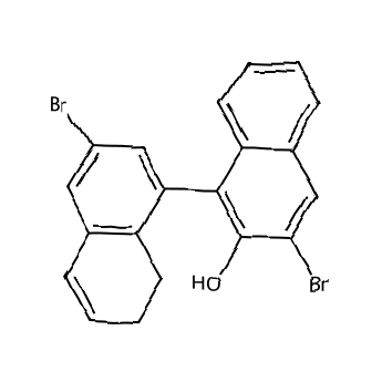 Oc1c(Br)cc2ccccc2c1-c1cc(Br)cc2c1CCC=C2